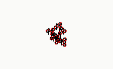 c1ccc(-n2c3ccccc3c3cc4c(cc32)c2ccccc2n4-c2nc(-c3ccc(-n4c5ccccc5c5cc6c7ccccc7n(-c7ccccc7)c6cc54)cc3)nc(-n3c4ccccc4c4cc5c(cc43)c3ccccc3n5-c3ccccc3)n2)cc1